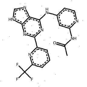 CC(=O)Nc1cc(Nc2nc(-c3cccc(C(F)(F)F)n3)nc3[nH]cnc23)ccn1